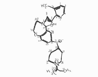 Cc1cccnc1C1=CN2CCOc3ccc([S+]([O-])C4CCN(C(C)C)CC4)cc3C2N1